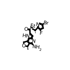 CCN(C(=O)c1cc2nc(N)c3c(c2[nH]1)CO[C@@H]3C)[C@@H](C)c1ncc(Br)cc1F